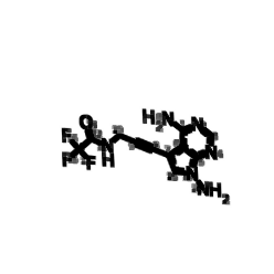 Nc1ncnc2c1c(C#CCNC(=O)C(F)(F)F)cn2N